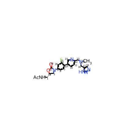 CC(=O)NC[C@H]1CN(c2ccc(-c3ccc(CN(C)Cc4cnn[nH]4)nc3)c(F)c2)C(=O)O1